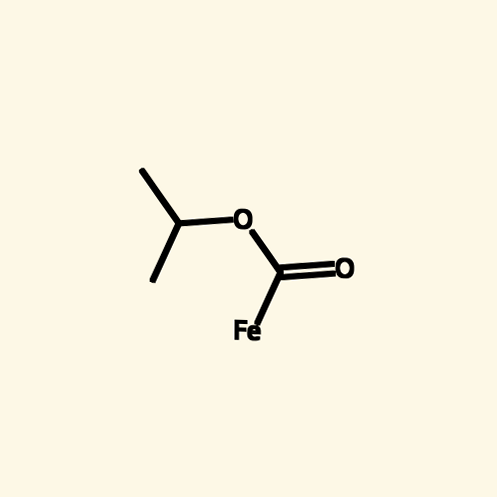 CC(C)O[C](=O)[Fe]